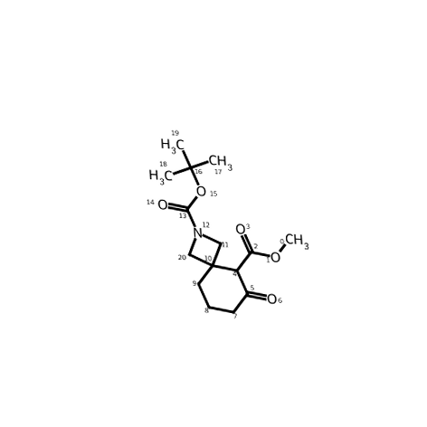 COC(=O)C1C(=O)CCCC12CN(C(=O)OC(C)(C)C)C2